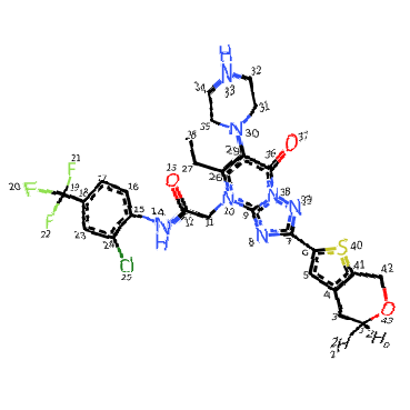 [2H]C1([2H])Cc2cc(-c3nc4n(CC(=O)Nc5ccc(C(F)(F)F)cc5Cl)c(CC)c(N5CCNCC5)c(=O)n4n3)sc2CO1